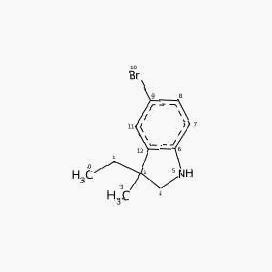 CCC1(C)CNc2ccc(Br)cc21